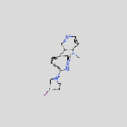 Cn1c2ccncc2c2ccc(N3CCC(I)C3)nc21